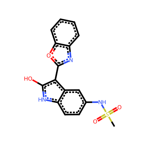 CS(=O)(=O)Nc1ccc2[nH]c(O)c(-c3nc4ccccc4o3)c2c1